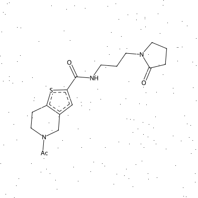 CC(=O)N1CCc2sc(C(=O)NCCCN3CCCC3=O)cc2C1